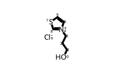 OCCC[n+]1ccsc1.[Cl-]